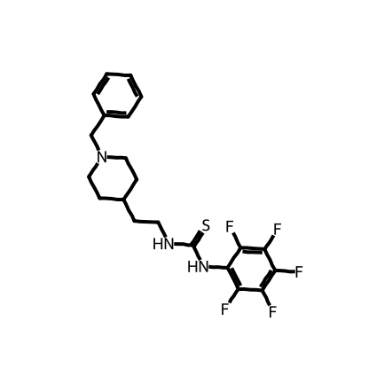 Fc1c(F)c(F)c(NC(=S)NCCC2CCN(Cc3ccccc3)CC2)c(F)c1F